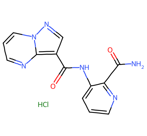 Cl.NC(=O)c1ncccc1NC(=O)c1cnn2cccnc12